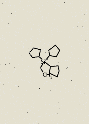 CC[Si](C1CCCC1)(C1CCCC1)C1CCCC1